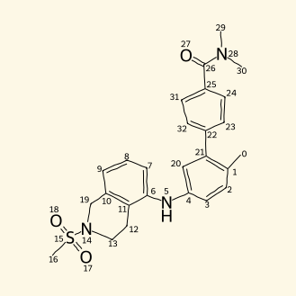 Cc1ccc(Nc2cccc3c2CCN(S(C)(=O)=O)C3)cc1-c1ccc(C(=O)N(C)C)cc1